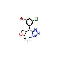 Cn1cnnc1C(c1cc(Cl)cc(Br)c1)C1COC1